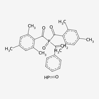 C=C(c1ccccc1)P(=O)(C(=O)c1c(C)cc(C)cc1C)C(=O)c1c(C)cc(C)cc1C.O=P